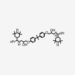 CCCC(NCC(O)COc1ccc(C(C)(C)c2ccc(OCC(O)CNC(CCC)C3CC(C)(C)NC(C)(C)C3)cc2)cc1)C1CC(C)(C)NC(C)(C)C1